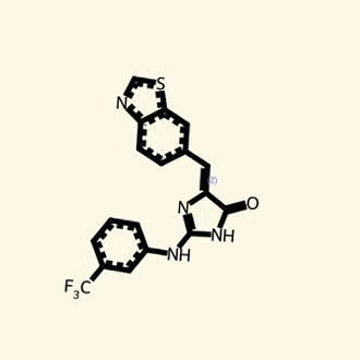 O=C1NC(Nc2cccc(C(F)(F)F)c2)=N/C1=C\c1ccc2ncsc2c1